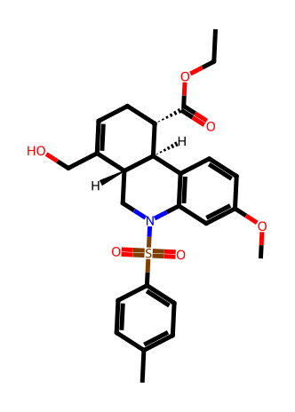 CCOC(=O)[C@H]1CC=C(CO)[C@H]2CN(S(=O)(=O)c3ccc(C)cc3)c3cc(OC)ccc3[C@H]12